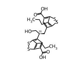 CCCc1c2c(C[C@H](CO)c3cc(C(=O)O)c4c(CCC)c3SS4)cc(C(=O)O)c1SS2